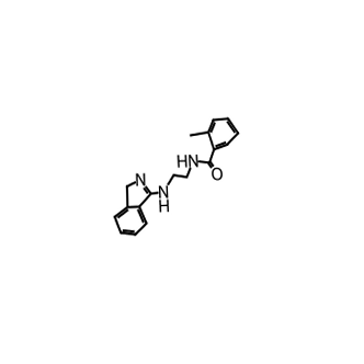 Cc1ccccc1C(=O)NCCNC1=NCc2ccccc21